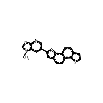 Cn1cnc2ncc(-c3cc4ccc5c(ccc6ccsc65)c4s3)cc21